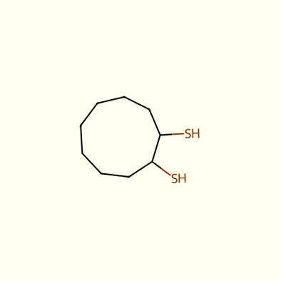 SC1CCCCCCCC1S